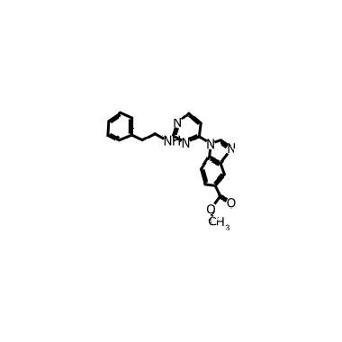 COC(=O)c1ccc2c(c1)ncn2-c1ccnc(NCCc2ccccc2)n1